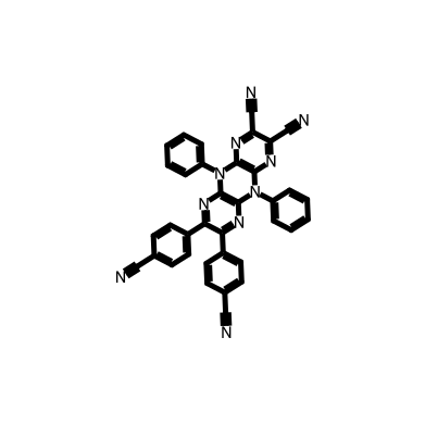 N#Cc1ccc(-c2nc3c(nc2-c2ccc(C#N)cc2)N(c2ccccc2)c2nc(C#N)c(C#N)nc2N3c2ccccc2)cc1